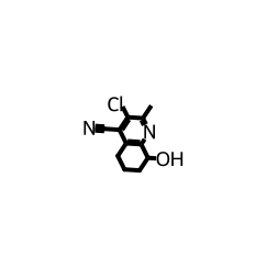 Cc1nc2c(c(C#N)c1Cl)CCCC2O